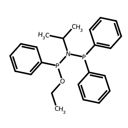 CCOP(c1ccccc1)N(C(C)C)P(c1ccccc1)c1ccccc1